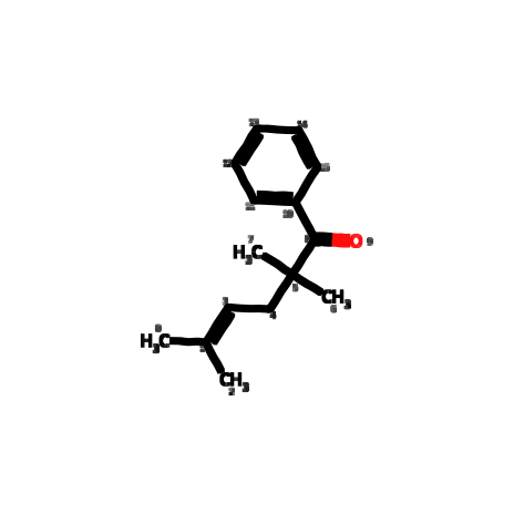 CC(C)=CCC(C)(C)C(=O)c1ccccc1